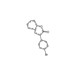 O=c1oc2ccccc2cc1-c1ccc(Br)cc1